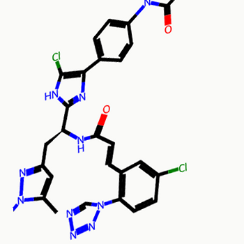 COC(=O)Nc1ccc(-c2nc([C@H](Cc3cc(C)n(C)n3)NC(=O)/C=C/c3cc(Cl)ccc3-n3cnnn3)[nH]c2Cl)cc1